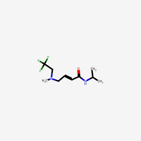 CC(C)NC(=O)/C=C/CN(C)CC(F)(F)F